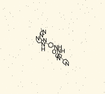 Cc1cn(-c2nccc3[nH]c(-c4ccc(NC(=O)Nc5cc(-c6ccncc6)no5)cc4)nc23)cn1